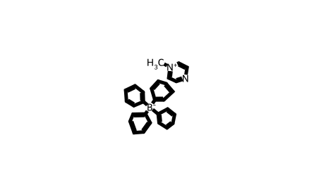 C[n+]1ccncc1.c1ccc([B-](c2ccccc2)(c2ccccc2)c2ccccc2)cc1